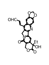 CCC1(O)C(=O)OCc2c1cc1n(c2=O)Cc2c-1nc1cc3c(cc1c2C=CC=O)OCO3